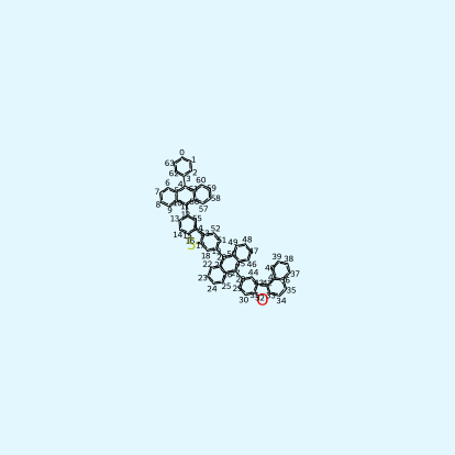 c1ccc(-c2c3ccccc3c(-c3ccc4sc5cc(-c6c7ccccc7c(-c7ccc8oc9ccc%10ccccc%10c9c8c7)c7ccccc67)ccc5c4c3)c3ccccc23)cc1